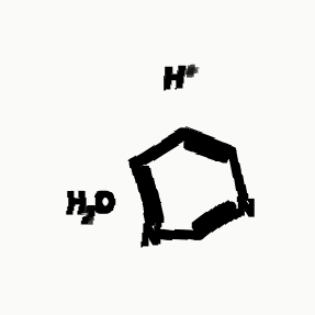 O.[H+].c1cncnc1